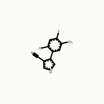 Cc1cc(-c2c[nH]cc2C#N)c(Cl)cc1F